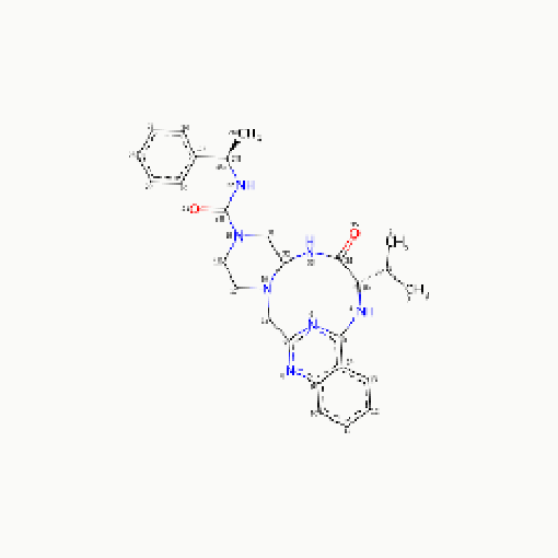 CC(C)[C@@H]1Nc2nc(nc3ccccc23)CN2CCN(C(=O)N[C@H](C)c3ccccc3)CC2NC1=O